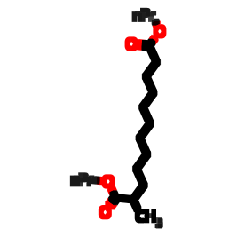 CCCOC(=O)CCCCCCCCCC(C)C(=O)OCCC